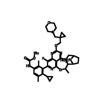 Cc1cc(NC(=O)OC(C)(C)C)c(C)c(-c2nc3c4c(nc(OCC5(CN6CCOCC6)CC5)nc4c2F)N2CC4CCC(C2C(C)O3)N4C(=O)O)c1C1CC1